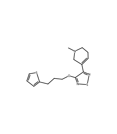 CN1CCC=C(c2nsnc2OCCCc2cccs2)C1